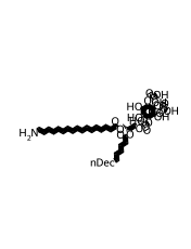 CCCCCCCCCCCCCCCC(=O)O[C@H](COC(=O)CCCCCCCCCCCCCCCCN)COP(=O)(O)OC1C(O)[C@@H](O)C(OP(=O)(O)O)[C@@H](OP(=O)(O)O)[C@H]1O